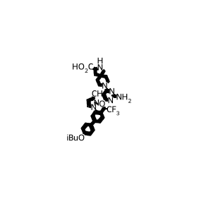 Cc1ccn(-c2cc(-c3ccc(OCC(C)C)cc3)ccc2[C@@H](Oc2cc(N3CCC4(CC3)CNC(C(=O)O)C4)nc(N)n2)C(F)(F)F)n1